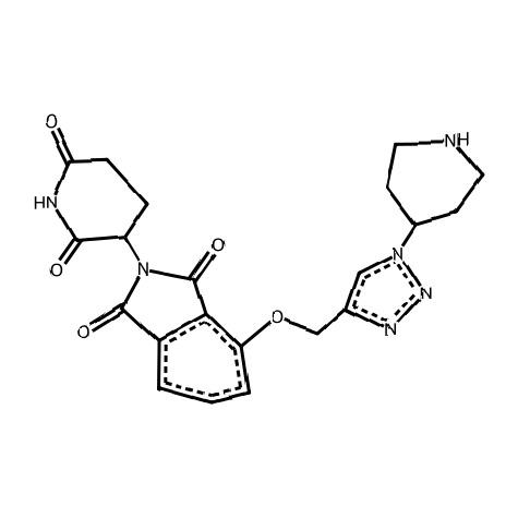 O=C1CCC(N2C(=O)c3cccc(OCc4cn(C5CCNCC5)nn4)c3C2=O)C(=O)N1